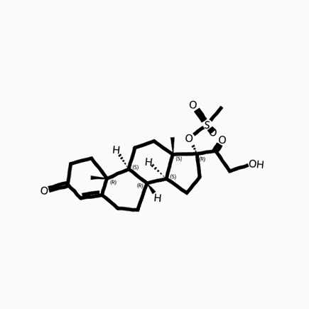 C[C@]12CCC(=O)C=C1CC[C@@H]1[C@@H]2CC[C@@]2(C)[C@H]1CC[C@]2(OS(C)(=O)=O)C(=O)CO